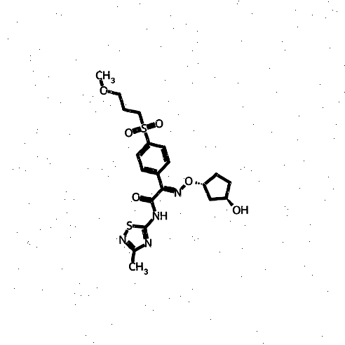 COCCCS(=O)(=O)c1ccc(/C(=N\O[C@@H]2CC[C@@H](O)C2)C(=O)Nc2nc(C)ns2)cc1